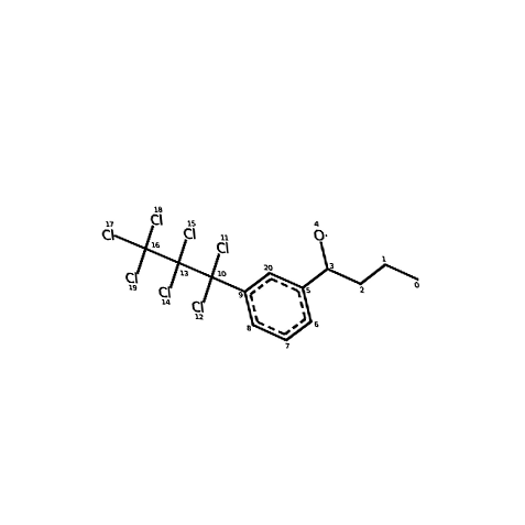 CCCC([O])c1cccc(C(Cl)(Cl)C(Cl)(Cl)C(Cl)(Cl)Cl)c1